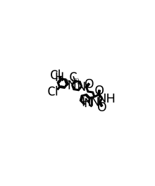 C[C@H]1CN(C(=O)CCC2(c3ccccn3)NC(=O)NC2=O)CCN1c1cc(Cl)cc(Cl)c1